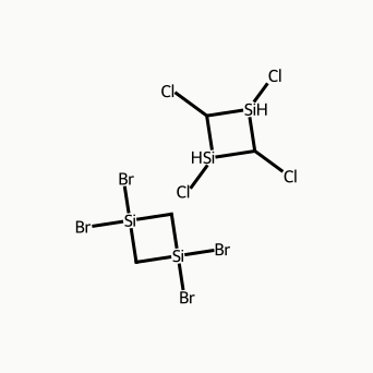 Br[Si]1(Br)C[Si](Br)(Br)C1.ClC1[SiH](Cl)C(Cl)[SiH]1Cl